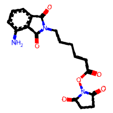 Nc1cccc2c1C(=O)N(CCCCCC(=O)ON1C(=O)CCC1=O)C2=O